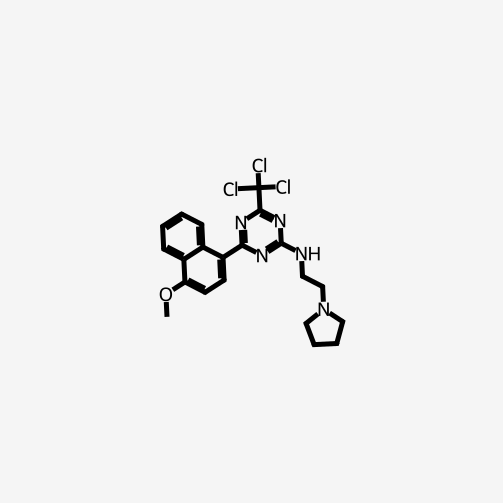 COc1ccc(-c2nc(NCCN3CCCC3)nc(C(Cl)(Cl)Cl)n2)c2ccccc12